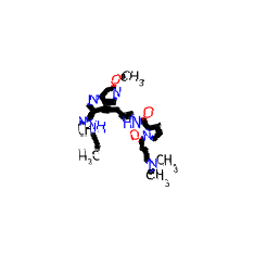 C=N/C(NCCC)=C(C#CCCCNC(=O)C1CCCN1C(=O)/C=C/CN(C)C)\C=N/c1ccnc(OC)c1